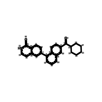 O=C(c1ccc2c(-c3ccc4c(=O)[nH]ccc4c3)cccc2c1)C1CCCCC1